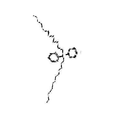 CCCCCCCCCCCC[P+](CCCCCCCCCCCC)(c1ccccc1)c1ccccc1.[I-]